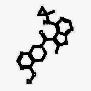 CCOc1ncnc2c1CCN(C(=O)c1c(C)oc3ncnc(NC4(C)CC4)c13)C2